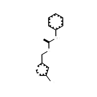 CC(C)c1cc(CNC(=O)Nc2ccccc2)on1